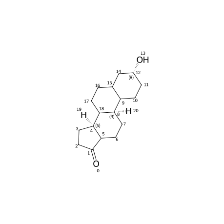 O=C1CC[C@@H]2C1CC[C@@H]1C3CC[C@@H](O)CC3CCC21